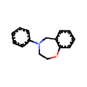 c1ccc(N2CCOc3ccccc3C2)cc1